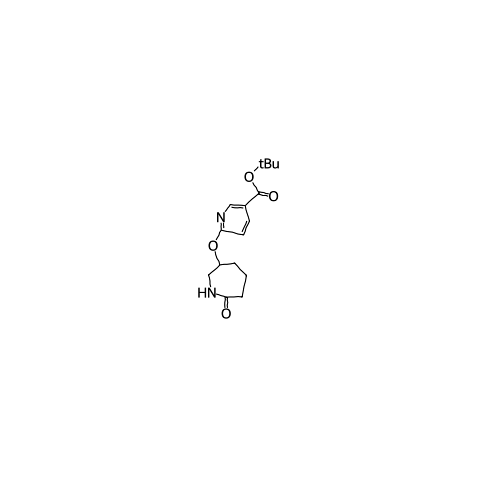 CC(C)(C)OC(=O)c1ccc(OC2CCCC(=O)NC2)nc1